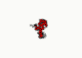 COc1ccccc1-c1nccc(COc2ccccc2C[C@@H](Oc2ncnc3sc(-c4ccc(F)cc4)c(-c4ccc(OCCN5CC[N+](C)(Cc6ccc(NC(=O)C(CCCNC(N)=O)NC(=O)C(N)C(C)C)cc6CN(C)C(=O)C[C@H](NC(=O)OC6O[C@H](C(=O)O)[C@@H](O)[C@H](O)[C@H]6O)C(=O)O)CC5)c(Cl)c4C)c23)C(=O)O)n1